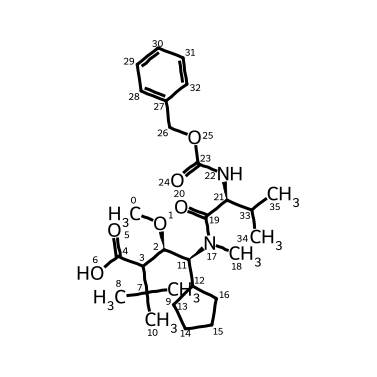 CO[C@H](C(C(=O)O)C(C)(C)C)[C@H](C1CCCC1)N(C)C(=O)[C@@H](NC(=O)OCc1ccccc1)C(C)C